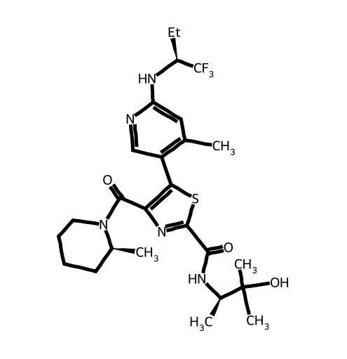 CC[C@H](Nc1cc(C)c(-c2sc(C(=O)N[C@H](C)C(C)(C)O)nc2C(=O)N2CCCC[C@@H]2C)cn1)C(F)(F)F